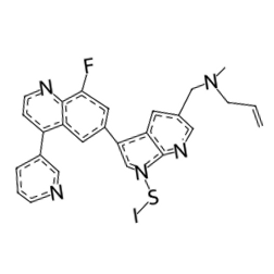 C=CCN(C)Cc1cnc2c(c1)c(-c1cc(F)c3nccc(-c4cccnc4)c3c1)cn2SI